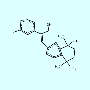 CC1(C)CCC(C)(C)c2cc(C=C(CO)c3cccc(Br)c3)ccc21